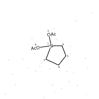 CC(=O)O[Si]1(OC(C)=O)CCCC1